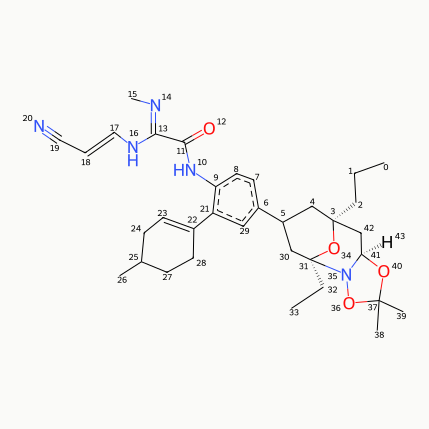 CCC[C@@]12CC(c3ccc(NC(=O)/C(=N/C)N/C=C/C#N)c(C4=CCC(C)CC4)c3)C[C@@](CC)(O1)N1OC(C)(C)O[C@@H]1C2